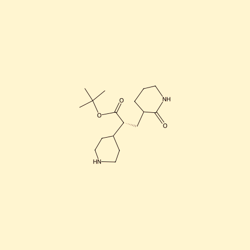 CC(C)(C)OC(=O)[C@H](CC1CCCNC1=O)C1CCNCC1